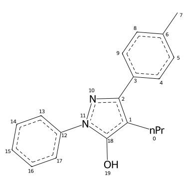 CCCc1c(-c2ccc(C)cc2)nn(-c2ccccc2)c1O